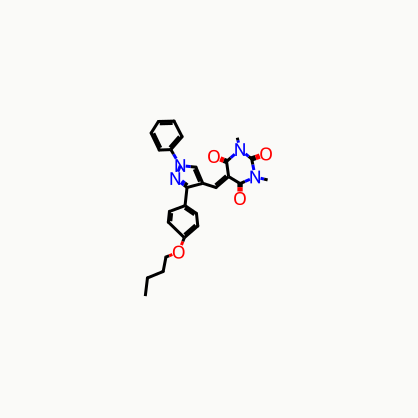 CCCCOc1ccc(-c2nn(-c3ccccc3)cc2C=C2C(=O)N(C)C(=O)N(C)C2=O)cc1